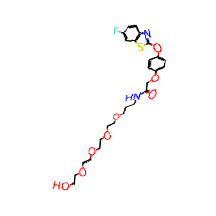 O=C(COc1ccc(Oc2nc3ccc(F)cc3s2)cc1)NCCCOCCOCCOCCOCCO